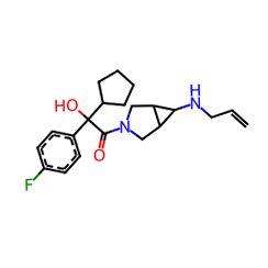 C=CCNC1C2CN(C(=O)C(O)(c3ccc(F)cc3)C3CCCC3)CC21